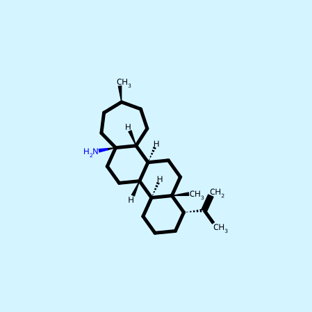 C=C(C)[C@@H]1CCC[C@H]2[C@@H]3CC[C@]4(N)CC[C@@H](C)CC[C@@H]4[C@H]3CC[C@]12C